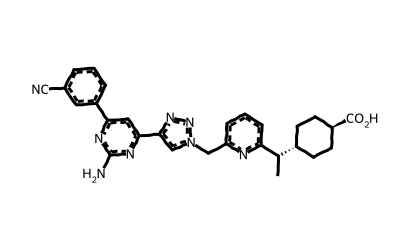 CC(c1cccc(Cn2cc(-c3cc(-c4cccc(C#N)c4)nc(N)n3)nn2)n1)[C@H]1CC[C@H](C(=O)O)CC1